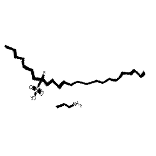 C=CCN.CCCCCCCCCCCCCCCCC(F)(CCCCCCC)S(=O)(=O)O